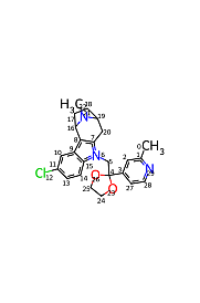 Cc1cc(C2(Cn3c4c(c5cc(Cl)ccc53)C3CCC(C4)N3C)OCCO2)ccn1